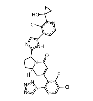 O=C1C=C(c2c(-n3cnnn3)ccc(Cl)c2F)C[C@H]2CC[C@@H](c3ncc(-c4ccnc(C5(O)CC5)c4Cl)[nH]3)N12